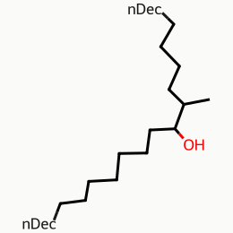 CCCCCCCCCCCCCCCCCC(O)C(C)CCCCCCCCCCCCCC